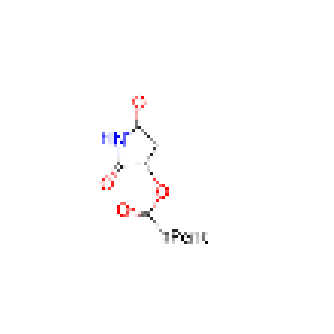 CCCCCC(=O)OC1CC(=O)NC1=O